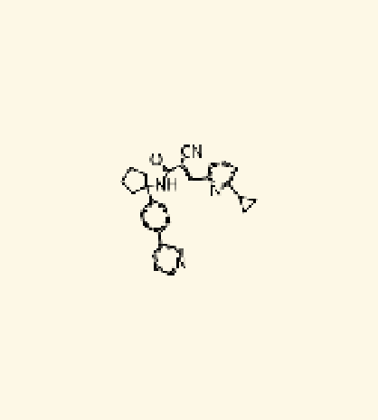 N#C/C(=C\c1cccc(C2CC2)n1)C(=O)NC1(c2ccc(-c3cccnc3)cc2)CCCC1